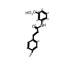 O=C(/C=C/c1ccc(F)cc1)Nc1cccc(C(=O)O)c1